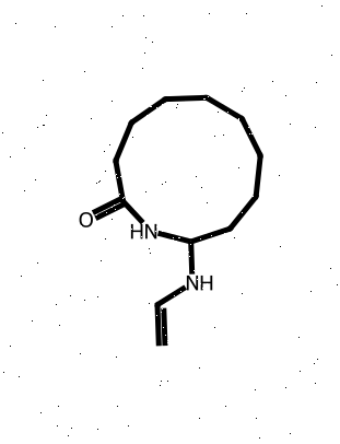 C=CNC1CCCCCCCCC(=O)N1